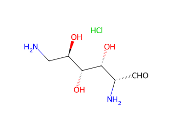 Cl.NC[C@@H](O)[C@@H](O)[C@H](O)[C@@H](N)C=O